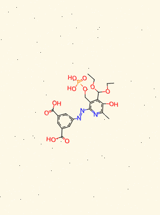 CCOC(OCC)c1c(O)c(C)nc(N=Nc2cc(C(=O)O)cc(C(=O)O)c2)c1COP(=O)(O)O